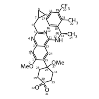 COc1nc2nc(CC3CC3)nc(N[C@H](C)c3cccc(C(F)(F)F)c3C)c2cc1C1(OC)CCS(=O)(=O)CC1